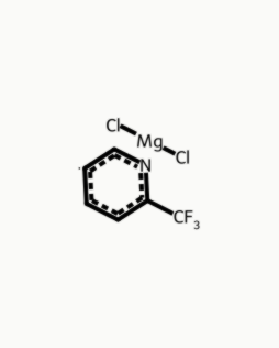 FC(F)(F)c1cc[c]cn1.[Cl][Mg][Cl]